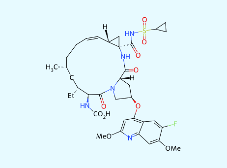 CC[C@@H]1C[C@H](C)CCC=C[C@@H]2C[C@@]2(C(=O)NS(=O)(=O)C2CC2)NC(=O)[C@@H]2C[C@@H](Oc3cc(OC)nc4cc(OC)c(F)cc34)CN2C(=O)[C@H]1NC(=O)O